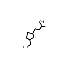 CC(O)CCC1CCC(CO)O1